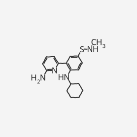 CNSc1ccc(NC2CCCCC2)c(-c2cccc(N)n2)c1